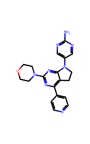 Nc1ncc(N2CCc3c(-c4ccncc4)nc(N4CCOCC4)nc32)cn1